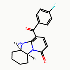 O=C(c1ccc(F)cc1)c1ccc(=O)n2c1N[C@@H]1CCCC[C@@H]12